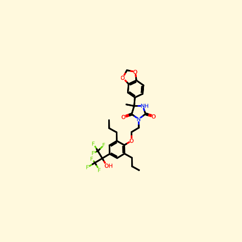 CCCc1cc(C(O)(C(F)(F)F)C(F)(F)F)cc(CCC)c1OCCN1C(=O)NC(C)(c2ccc3c(c2)OCO3)C1=O